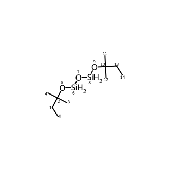 CCC(C)(C)O[SiH2]O[SiH2]OC(C)(C)CC